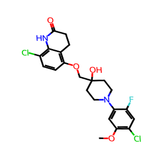 COc1cc(N2CCC(O)(COc3ccc(Cl)c4c3CCC(=O)N4)CC2)c(F)cc1Cl